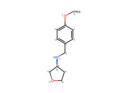 CCCCCCOc1ccc(CN[C@H]2CCOC2)cc1